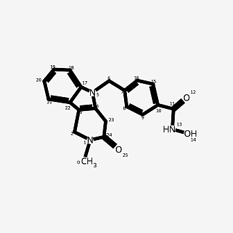 CN1Cc2c(n(Cc3ccc(C(=O)NO)cc3)c3ccccc23)CC1=O